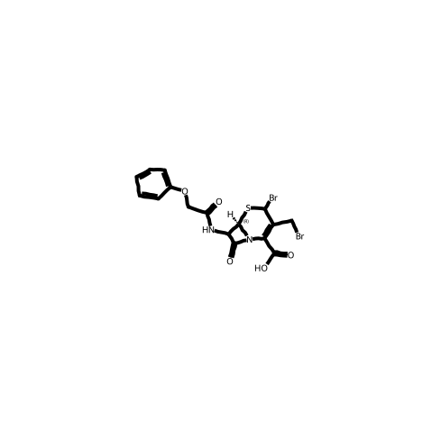 O=C(COc1ccccc1)NC1C(=O)N2C(C(=O)O)=C(CBr)C(Br)S[C@H]12